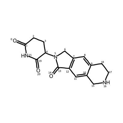 O=C1CCC(N2Cc3cc4c(cc3C2=O)CNCC4)C(=O)N1